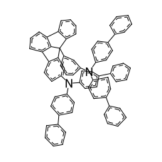 c1ccc(-c2ccc(N(c3ccc(-c4ccccc4)cc3)c3cccc(C45c6ccccc6-c6cccc(c64)-c4ccc(N(c6ccc(-c7ccccc7)cc6)c6ccc(-c7ccccc7)cc6)cc45)c3)cc2)cc1